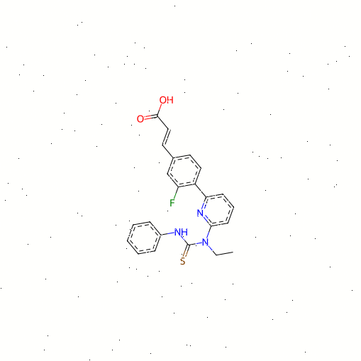 CCN(C(=S)Nc1ccccc1)c1cccc(-c2ccc(C=CC(=O)O)cc2F)n1